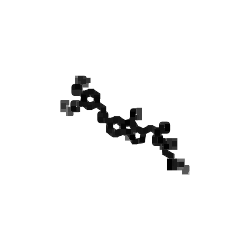 CC(C)Oc1ccc(COc2ccc3c(c2)c(Cl)c2n3CCC2CC(=O)ONCCN)cc1C(F)(F)F